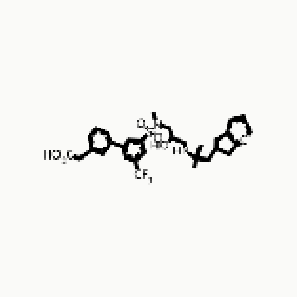 CN(CC(O)CNC(C)(C)CC1Cc2ccccc2C1)S(=O)(=O)c1cc(-c2cccc(CC(=O)O)c2)cc(C(F)(F)F)c1